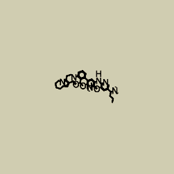 CCCC(c1ccc(Nc2cc(-c3cccc(N4CCc5c(cc6n5CCCC6)C4=O)c3CO)cn(C)c2=O)nc1)N(C)C